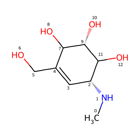 CN[C@@H]1C=C(CO)C(O)[C@H](O)C1O